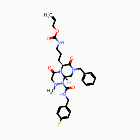 C=CCOC(=O)NCCC[C@H]1C(=O)N(Cc2ccccc2)C[C@H]2N1C(=O)CN(C)N2C(=O)NCc1ccc(F)cc1